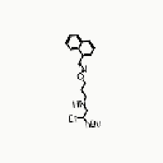 CCCCC(CC)CNCCCON=Cc1cccc2ccccc12